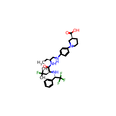 CC[C@@H](CNc1ccc(N2CCC[C@H](C(=O)O)C2)cc1)NC(=O)[C@H](CC(C)(C)F)N[C@@H](c1ccccc1)C(F)(F)F